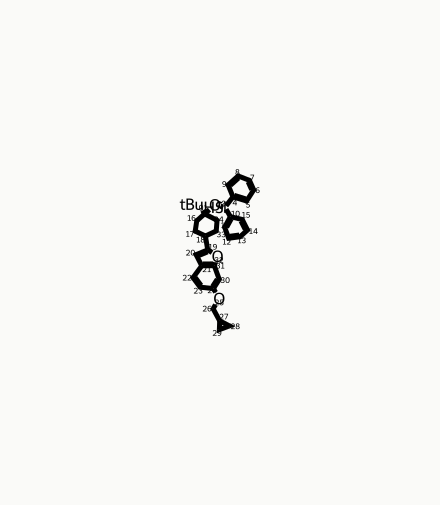 CC(C)(C)C1(O[SiH](c2ccccc2)c2ccccc2)CCC(c2cc3ccc(OCC4CC4)cc3o2)CC1